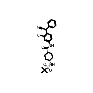 CC(C)(C)S(=O)(=O)N[C@H]1CC[C@H](C(=O)Nc2ccc(C(C#N)c3ccccc3)c(Cl)c2)CC1